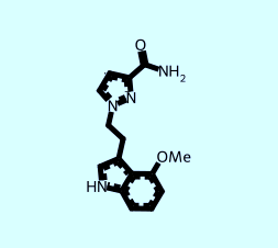 COc1cccc2[nH]cc(CCn3c[c]c(C(N)=O)n3)c12